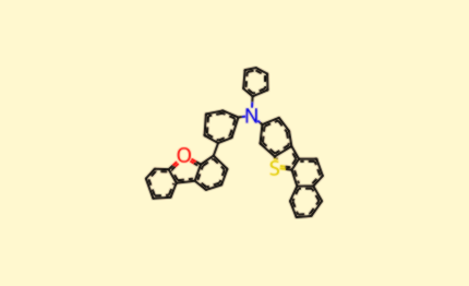 c1ccc(N(c2cccc(-c3cccc4c3oc3ccccc34)c2)c2ccc3c(c2)sc2c4ccccc4ccc32)cc1